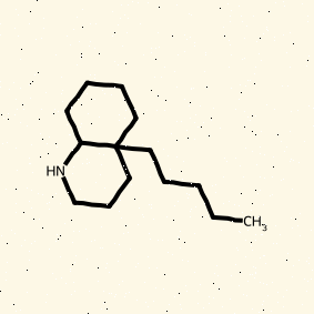 CCCCCC12CCCCC1NCCC2